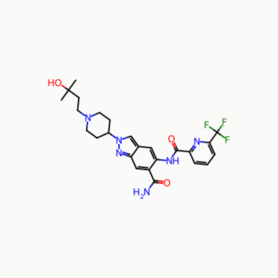 CC(C)(O)CCN1CCC(n2cc3cc(NC(=O)c4cccc(C(F)(F)F)n4)c(C(N)=O)cc3n2)CC1